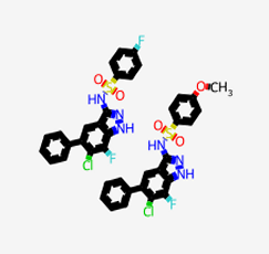 COc1ccc(S(=O)(=O)Nc2n[nH]c3c(F)c(Cl)c(-c4ccccc4)cc23)cc1.O=S(=O)(Nc1n[nH]c2c(F)c(Cl)c(-c3ccccc3)cc12)c1ccc(F)cc1